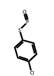 O=PSc1ccc(Cl)cc1